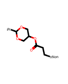 CCCCCCCCCCCC(=O)OC1COC(C(C)C)OC1